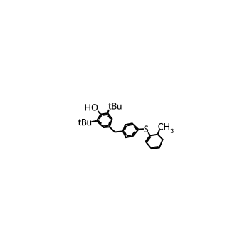 CC1CC=CC=C1Sc1ccc(Cc2cc(C(C)(C)C)c(O)c(C(C)(C)C)c2)cc1